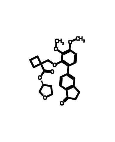 COc1ccc(-c2ccc3c(c2)CCC3=O)c(OCC2(C(=O)O[C@@H]3CCOC3)CCC2)c1OC